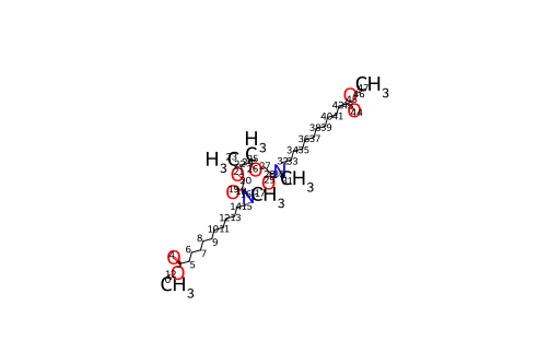 CCOC(=O)CCCCCCCCCCCN(C)C(=O)COC(C)C(C)OCC(=O)N(C)CCCCCCCCCCCC(=O)OCC